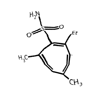 CCc1[c]c(C)cc(C)c1S(N)(=O)=O